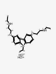 CCNCCOc1ccc2c(c1)c1cc(OCCNCC)ccc1n2CC.Cl.Cl